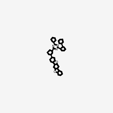 c1ccc(-c2nc(-c3cccc(-c4ccc5c(c4)oc4cc6c(cc45)oc4ccccc46)c3)nc(-c3ccccc3-c3ccccc3)n2)cc1